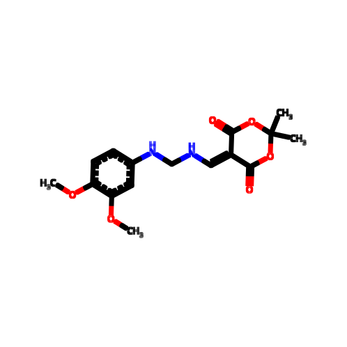 COc1ccc(NCNC=C2C(=O)OC(C)(C)OC2=O)cc1OC